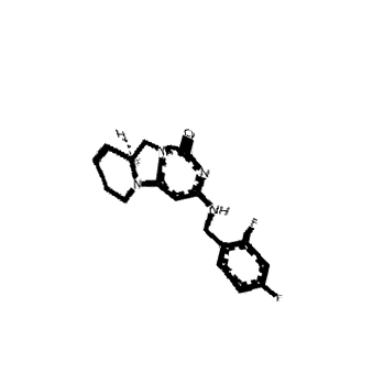 O=c1nc(NCc2ccc(F)cc2F)cc2n1C[C@@H]1CCCCN21